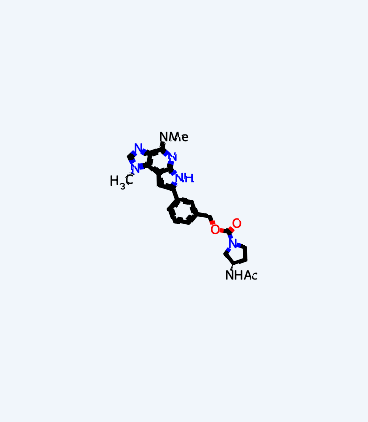 CNc1nc2[nH]c(-c3cccc(COC(=O)N4CC[C@H](NC(C)=O)C4)c3)cc2c2c1ncn2C